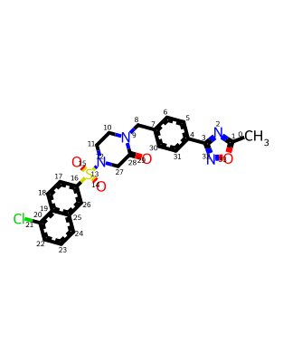 Cc1nc(-c2ccc(CN3CCN(S(=O)(=O)c4ccc5c(Cl)cccc5c4)CC3=O)cc2)no1